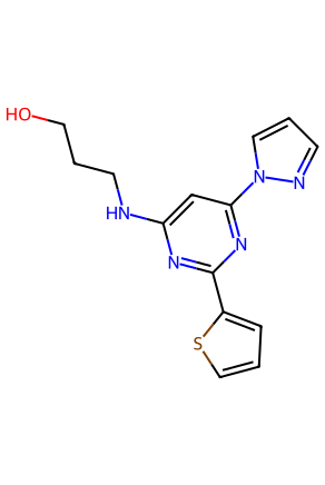 OCCCNc1cc(-n2cccn2)nc(-c2cccs2)n1